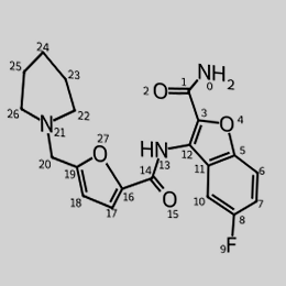 NC(=O)c1oc2ccc(F)cc2c1NC(=O)c1ccc(CN2CCCCC2)o1